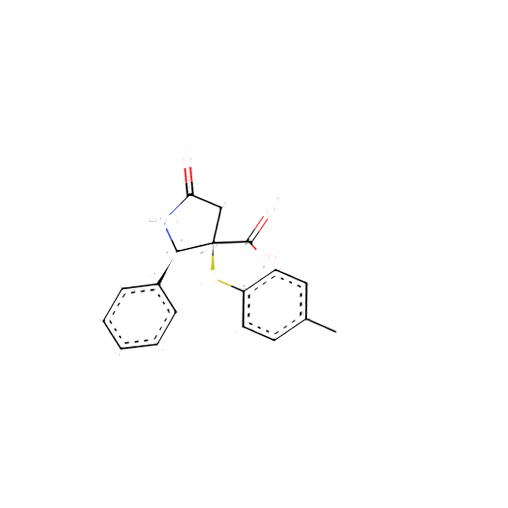 Cc1ccc(S[C@]2(C(=O)O)CC(=O)N[C@@H]2c2ccccc2)cc1